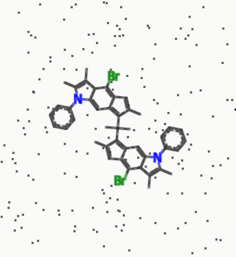 CC1=CC2=C(Br)C3C(=CC2=C1C(C)(C)C1=C2C=C4C(C(C)=C(C)N4c4ccccc4)C(Br)=C2C=C1C)N(c1ccccc1)C(C)=C3C